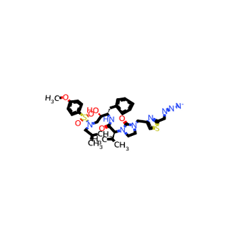 COc1ccc(S(=O)(=O)N(CC(C)C)C[C@@H](O)[C@H](Cc2ccccc2)NC(=O)[C@H](C(C)C)N2CCN(Cc3csc(CN=[N+]=[N-])n3)C2=O)cc1